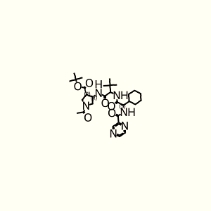 CC(=O)N1C[C@H](NC(=O)C(NC(=O)[C@@H](NC(=O)c2cnccn2)C2CCCCC2)C(C)(C)C)[C@H](C(=O)OC(C)(C)C)C1